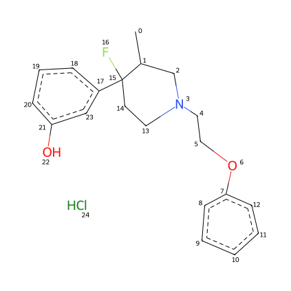 CC1CN(CCOc2ccccc2)CCC1(F)c1cccc(O)c1.Cl